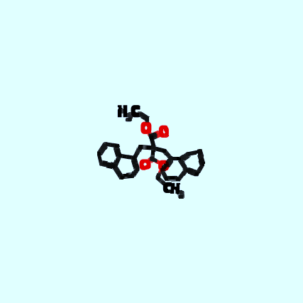 CCOC(=O)C(Cc1cccc2ccccc12)(Cc1cccc2ccccc12)C(=O)OCC